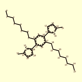 CCCCCCCCc1cc(-c2ccc(C)s2)c(CCCCCCCC)cc1-c1ccc(C)s1